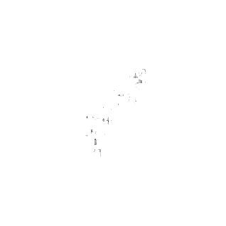 C[C@]12CCC3C(CC[C@@H]4C[C@@](O)(C#CCl)CC[C@H]34)C1CC[C@@H]2C(=O)CSS(C)(=O)=O